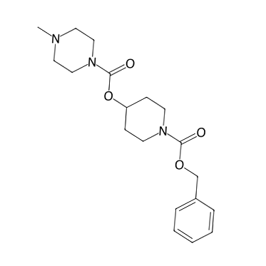 CN1CCN(C(=O)OC2CCN(C(=O)OCc3ccccc3)CC2)CC1